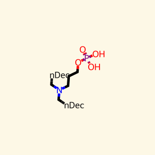 CCCCCCCCCCCN(CCCCCCCCCCC)CCCOP(=O)(O)O